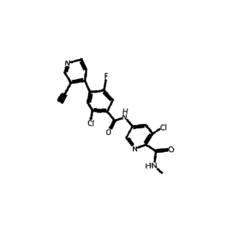 C#Cc1cnccc1-c1cc(Cl)c(C(=O)Nc2cnc(C(=O)NC)c(Cl)c2)cc1F